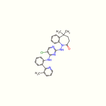 Cc1cccnc1-c1ccccc1Nc1nc(NN2C(=O)CCC(C)(C)c3ccccc32)ncc1Cl